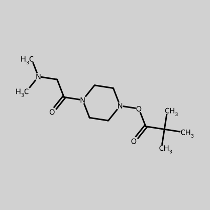 CN(C)CC(=O)N1CCN(OC(=O)C(C)(C)C)CC1